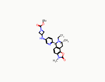 C[C@@H]1Cc2c(ccc3c2oc(=O)n3C)[C@@H](c2ccc(NC3CN(C(=O)OC(C)(C)C)C3)cn2)N1CC(F)(F)F